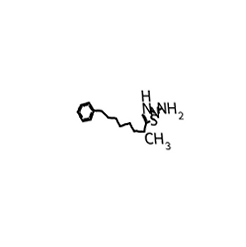 CC(CCCCCCc1ccccc1)C1=CNN(N)S1